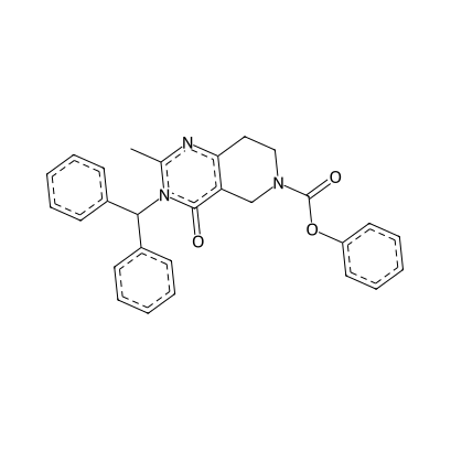 Cc1nc2c(c(=O)n1C(c1ccccc1)c1ccccc1)CN(C(=O)Oc1ccccc1)CC2